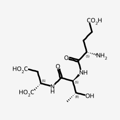 C[C@@H](O)[C@H](NC(=O)[C@@H](N)CCC(=O)O)C(=O)N[C@@H](CC(=O)O)C(=O)O